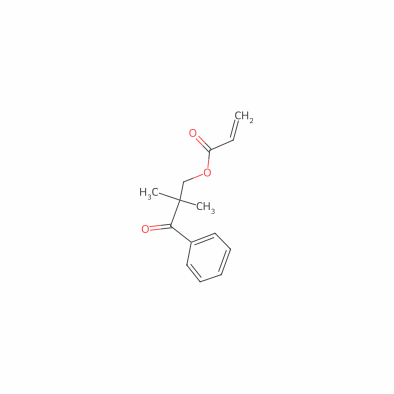 C=CC(=O)OCC(C)(C)C(=O)c1ccccc1